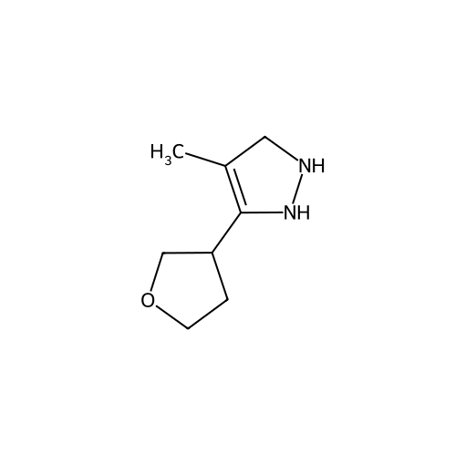 CC1=C(C2CCOC2)NNC1